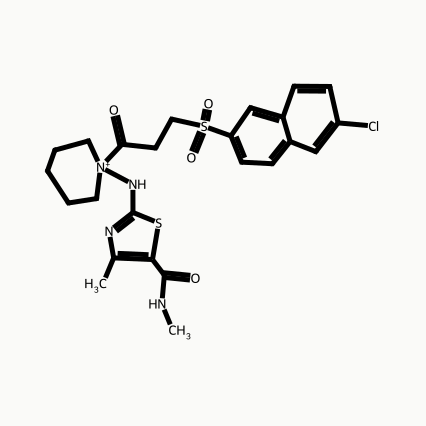 CNC(=O)c1sc(N[N+]2(C(=O)CCS(=O)(=O)c3ccc4cc(Cl)ccc4c3)CCCCC2)nc1C